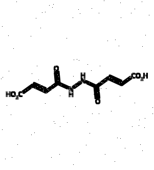 O=C(O)C=CC(=O)NNC(=O)C=CC(=O)O